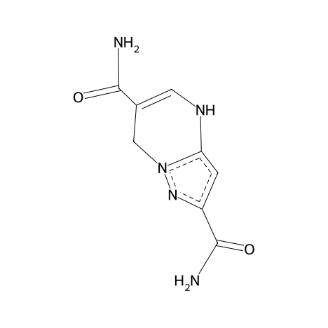 NC(=O)C1=CNc2cc(C(N)=O)nn2C1